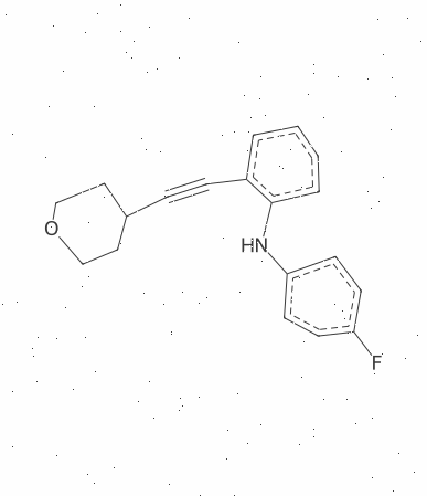 Fc1ccc(Nc2ccccc2C#CC2CCOCC2)cc1